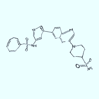 NS(=O)(=O)C1CCN(c2cnc3ccc(-c4cncc(NS(=O)(=O)c5ccccc5)c4)cc3n2)CC1